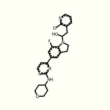 OC(Cc1cccnc1Cl)N1CCc2cc(-c3ccnc(NC4CCOCC4)n3)cc(F)c21